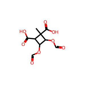 CC1(C(=O)O)C(OC=O)C(OC=O)C1C(=O)O